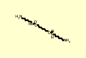 NCCCCCCNC(=O)OCCCCCCCOC(=O)NCCCCCCN